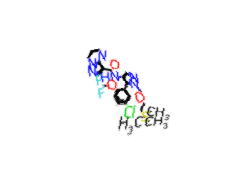 CS(C)(C)CCOCn1ncc(NC(=O)c2cnn3cccnc23)c1-c1cc(Cl)ccc1OC(F)F